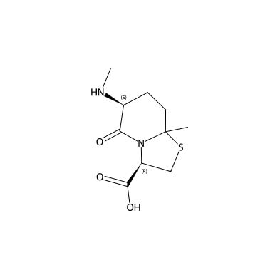 CN[C@H]1CCC2(C)SC[C@@H](C(=O)O)N2C1=O